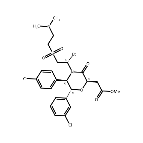 CC[C@@H](CS(=O)(=O)CCN(C)C)N1C(=O)[C@@H](CC(=O)OC)O[C@H](c2cccc(Cl)c2)[C@H]1c1ccc(Cl)cc1